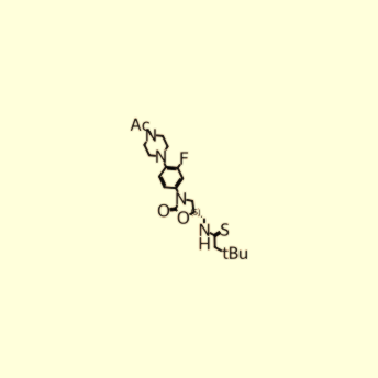 CC(=O)N1CCN(c2ccc(N3C[C@H](CNC(=S)CC(C)(C)C)OC3=O)cc2F)CC1